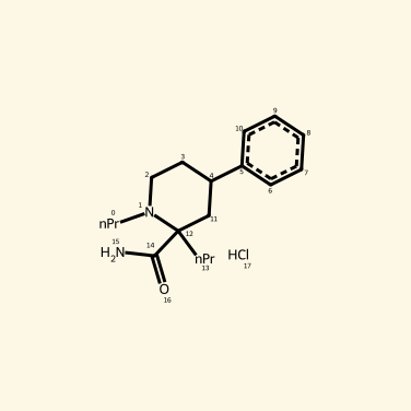 CCCN1CCC(c2ccccc2)CC1(CCC)C(N)=O.Cl